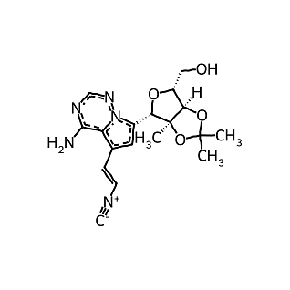 [C-]#[N+]/C=C/c1cc([C@@H]2O[C@H](CO)[C@H]3OC(C)(C)O[C@]32C)n2ncnc(N)c12